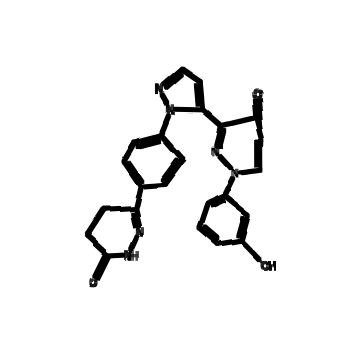 O=C1CCC(c2ccc(-n3nccc3-c3nn(-c4cccc(O)c4)ccc3=O)cc2)=NN1